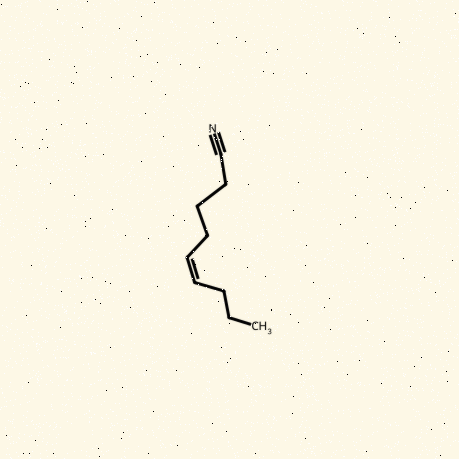 CCC/C=C\CCCC#N